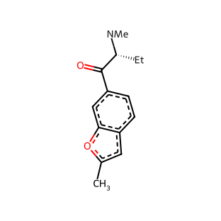 CC[C@@H](NC)C(=O)c1ccc2cc(C)oc2c1